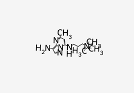 Cc1cc(NCCC[N+](C)(C)C)n2ncc(N)c2n1